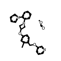 COC=O.Cc1cc(OC2CN(c3ccccc3-n3cccc3)C2)ccc1COc1cccnc1